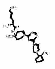 CCOc1ccccc1N1CCN(c2ncnc(N3CCC(NC(=O)[C@@H](N)CCCCN)(C(=O)O)CC3)n2)CC1